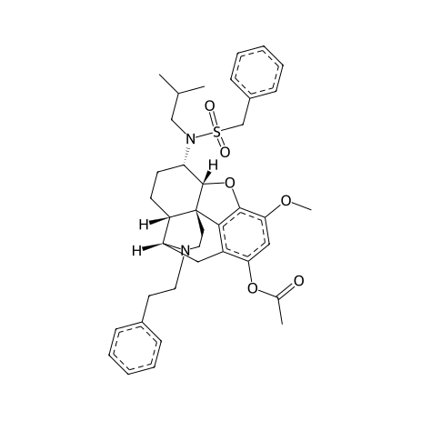 COc1cc(OC(C)=O)c2c3c1O[C@H]1[C@@H](N(CC(C)C)S(=O)(=O)Cc4ccccc4)CC[C@H]4[C@@H](C2)N(CCc2ccccc2)CC[C@@]341